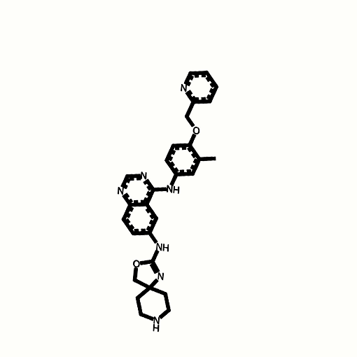 Cc1cc(Nc2ncnc3ccc(NC4=NC5(CCNCC5)CO4)cc23)ccc1OCc1ccccn1